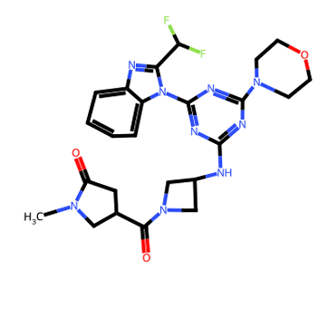 CN1CC(C(=O)N2CC(Nc3nc(N4CCOCC4)nc(-n4c(C(F)F)nc5ccccc54)n3)C2)CC1=O